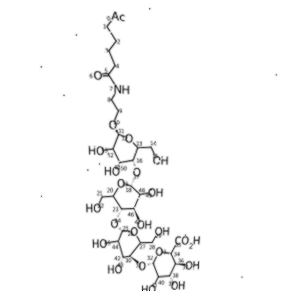 CC(=O)CCCCC(=O)NCCO[C@H]1OC(CO)[C@H](O[C@H]2OC(CO)[C@@H](O[C@@H]3OC(CO)[C@@H](O[C@@H]4OC(C(=O)O)[C@@H](O)[C@H](O)C4O)[C@H](O)C3O)[C@H](O)C2O)[C@H](O)C1O